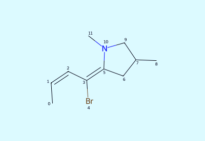 C/C=C\C(Br)=C1\CC(C)CN1C